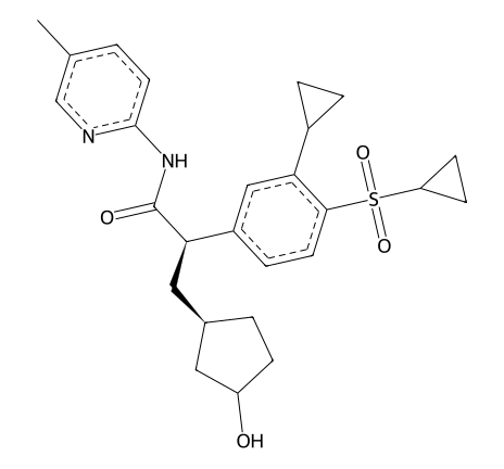 Cc1ccc(NC(=O)[C@H](C[C@H]2CCC(O)C2)c2ccc(S(=O)(=O)C3CC3)c(C3CC3)c2)nc1